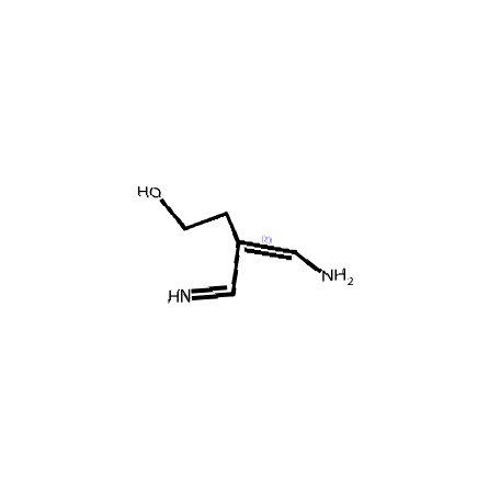 N=C/C(=C\N)CCO